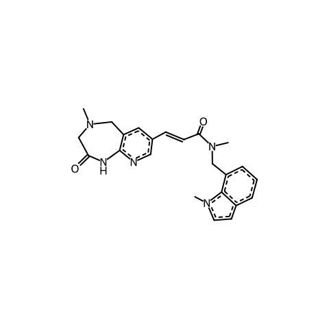 CN1CC(=O)Nc2ncc(C=CC(=O)N(C)Cc3cccc4ccn(C)c34)cc2C1